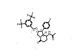 CC(=O)NC1CCC(=O)N2C[C@H](O[C@H](C)c3cc(C(F)(F)F)cc(C(F)(F)F)c3)[C@@H](c3ccc(F)cc3)[C@@H]12